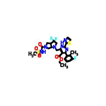 CCOC(=O)C1=C(CN2CC(F)(F)C3CN(C(=O)NS(C)(=O)=O)CC32)NC(c2nccs2)=NC1c1cccc(F)c1C